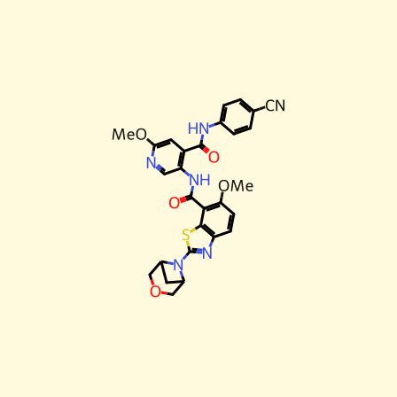 COc1cc(C(=O)Nc2ccc(C#N)cc2)c(NC(=O)c2c(OC)ccc3nc(N4C5COCC4C5)sc23)cn1